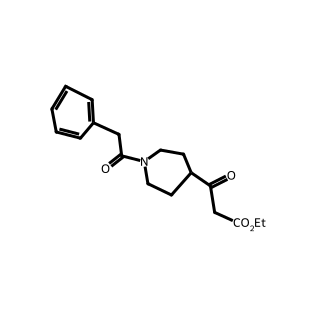 CCOC(=O)CC(=O)C1CCN(C(=O)Cc2ccccc2)CC1